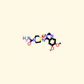 COc1cc2ncnc(N=S3(=O)CCN(C(N)=O)CC3)c2cc1OC